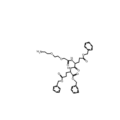 NCCOCCOCC(=O)NC(CCC(=O)OCc1ccccc1)C(=O)NC(CCC(=O)OCc1ccccc1)C(=O)OCc1ccccc1